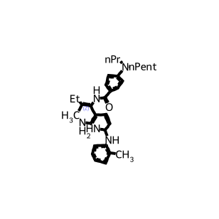 CCCCCN(CCC)c1ccc(C(=O)N/C(C2=C(N)NC(Nc3ccccc3C)C=C2)=C(/C)CC)cc1